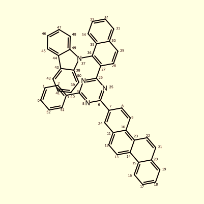 c1ccc(-c2nc(-c3ccc4c(ccc5c6ccccc6ccc45)c3)nc(-c3ccc4ccccc4c3-n3c4ccccc4c4ccccc43)n2)cc1